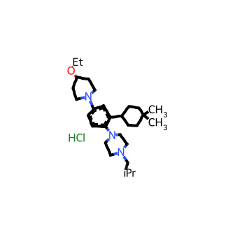 CCOC1CCN(c2ccc(N3CCN(CC(C)C)CC3)c(C3CCC(C)(C)CC3)c2)CC1.Cl